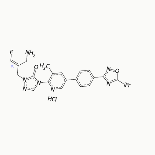 Cc1cc(-c2ccc(-c3noc(C(C)C)n3)cc2)cnc1-n1cnn(C/C(=C/F)CN)c1=O.Cl